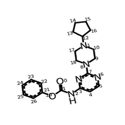 O=C(Nc1ccnc(N2CCN(C3CCCC3)CC2)n1)Oc1ccccc1